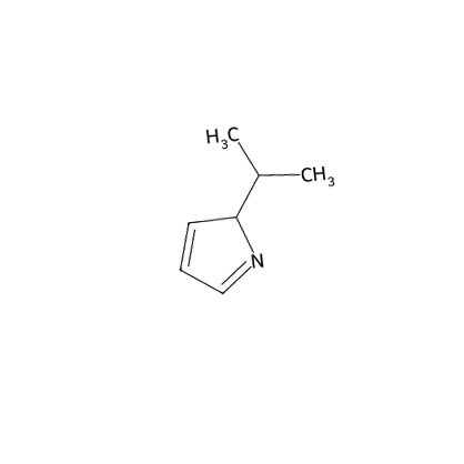 CC(C)C1C=CC=N1